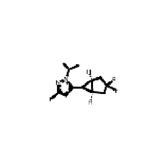 CC(C)n1nc(I)cc1C1[C@H]2CC(F)(F)C[C@@H]12